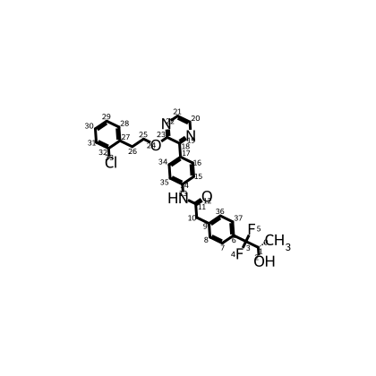 C[C@H](O)C(F)(F)c1ccc(CC(=O)Nc2ccc(-c3nccnc3OCCc3ccccc3Cl)cc2)cc1